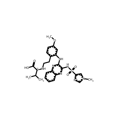 COc1ccc(CCN[C@H](C(=O)O)C(C)C)c(Nc2nc3ccccc3nc2NS(=O)(=O)c2cn(C)cn2)c1